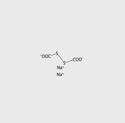 O=C([O-])SSC(=O)[O-].[Na+].[Na+]